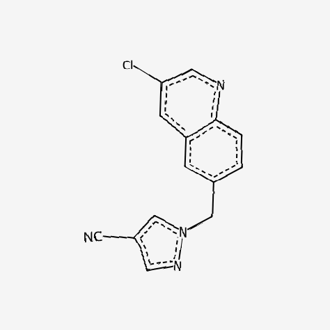 N#Cc1cnn(Cc2ccc3ncc(Cl)cc3c2)c1